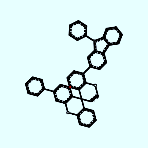 c1ccc(-c2ccc3c(c2)Oc2ccccc2C32c3ccccc3Oc3c(-c4ccc5c6ccccc6n(-c6ccccc6)c5c4)cccc32)cc1